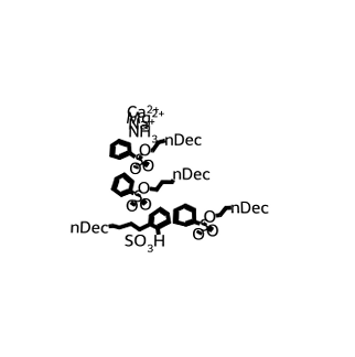 CCCCCCCCCCCCCCc1ccccc1S(=O)(=O)O.CCCCCCCCCCCCCOS(=O)(=O)c1ccccc1.CCCCCCCCCCCCOS(=O)(=O)c1ccccc1.CCCCCCCCCCCCOS(=O)(=O)c1ccccc1.N.[Ca+2].[Mg+2].[Na+]